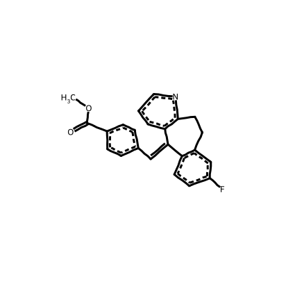 COC(=O)c1ccc(/C=C2/c3ccc(F)cc3CCc3ncccc32)cc1